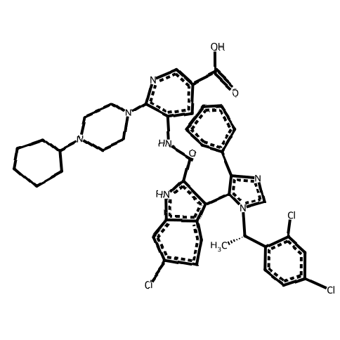 C[C@@H](c1ccc(Cl)cc1Cl)n1cnc(-c2ccccc2)c1-c1c(C(=O)Nc2cc(C(=O)O)cnc2N2CCN(C3CCCCC3)CC2)[nH]c2cc(Cl)ccc12